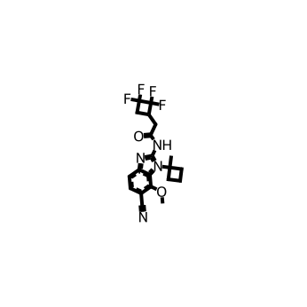 COc1c(C#N)ccc2nc(NC(=O)CC3CC(F)(F)C3(F)F)n(C3(C)CCC3)c12